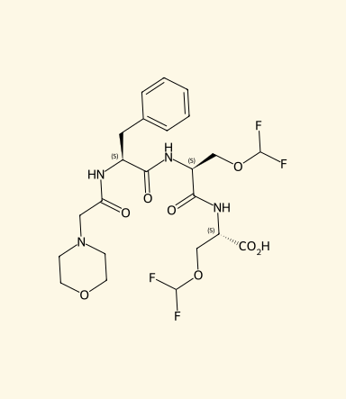 O=C(CN1CCOCC1)N[C@@H](Cc1ccccc1)C(=O)N[C@@H](COC(F)F)C(=O)N[C@@H](COC(F)F)C(=O)O